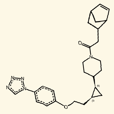 O=C(CC1CC2C=CC1C2)N1CCC([C@H]2C[C@H]2CCOc2ccc(-n3cnnn3)cc2)CC1